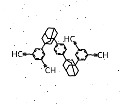 C#Cc1cc(C#C)cc(C23CC4CC(CC(c5ccc(C67CC8CC(C6)CC(c6cc(C#C)cc(C#C)c6)(C8)C7)cc5)(C4)C2)C3)c1